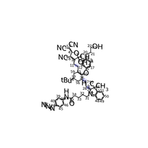 CC1(C)OC(=C(C#N)C#N)C(C#N)=C1/C=C/C1=C(Oc2ccc(CCCO)cc2)C(=C/C=C2/N(CCCCC(=O)Nc3ccc(N=[N+]=[N-])cc3)c3ccccc3C2(C)C)/CC(C(C)(C)C)C1